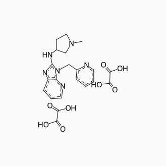 CN1CCC(Nc2nc3cccnc3n2Cc2ccccn2)C1.O=C(O)C(=O)O.O=C(O)C(=O)O